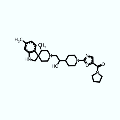 Cc1ccc2c(c1)NCC21CCN(CC(O)C2CCN(c3ncc(C(=O)N4CCCC4)o3)CC2)C[C@@H]1C